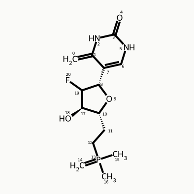 C=C1NC(=O)NC=C1[C@@H]1O[C@H](CCP(=C)(C)C)[C@@H](O)C1F